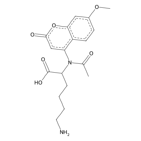 COc1ccc2c(N(C(C)=O)C(CCCCN)C(=O)O)cc(=O)oc2c1